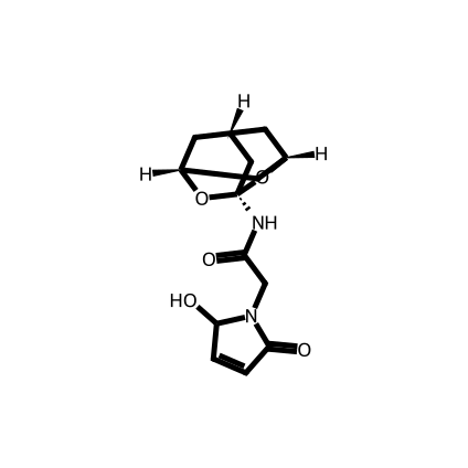 O=C(CN1C(=O)C=CC1O)N[C@]12C[C@@H]3C[C@H](C[C@H](C3)O1)O2